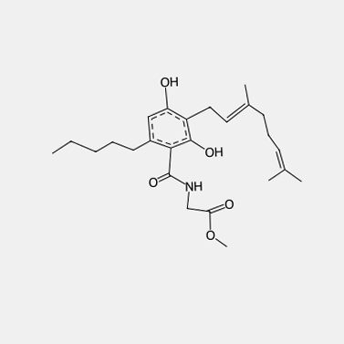 CCCCCc1cc(O)c(C/C=C(\C)CCC=C(C)C)c(O)c1C(=O)NCC(=O)OC